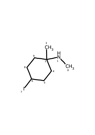 CNC1(C)CCC(I)CC1